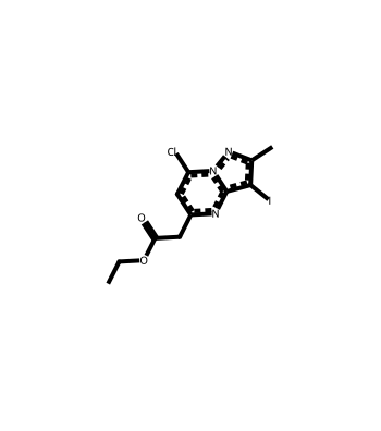 CCOC(=O)Cc1cc(Cl)n2nc(C)c(I)c2n1